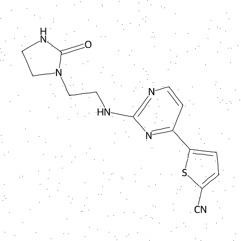 N#Cc1ccc(-c2ccnc(NCCN3CCNC3=O)n2)s1